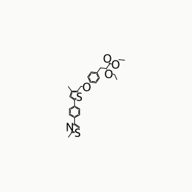 CCOC(=O)C(Cc1ccc(OCc2sc(-c3ccc(-c4csc(C)n4)cc3)cc2C)cc1)OCC